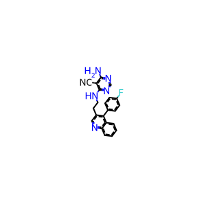 N#Cc1c(N)ncnc1NCCc1cnc2ccccc2c1-c1ccc(F)cc1